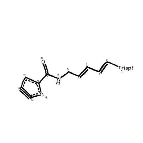 CCCCCCC/C=C/C=C/CNC(=O)c1cc#co1